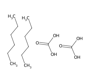 CCCCCC.CCCCCC.O=C(O)O.O=C(O)O